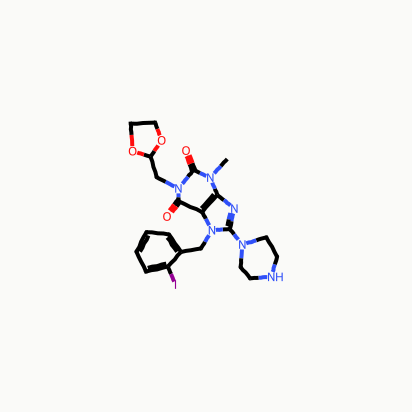 Cn1c(=O)n(CC2OCCO2)c(=O)c2c1nc(N1CCNCC1)n2Cc1ccccc1I